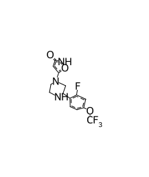 O=c1cc(N2CCNC(c3ccc(OC(F)(F)F)cc3F)C2)o[nH]1